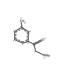 CNCC(=O)c1cccc(C)c1